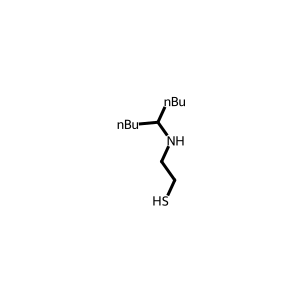 CCCCC(CCCC)NCCS